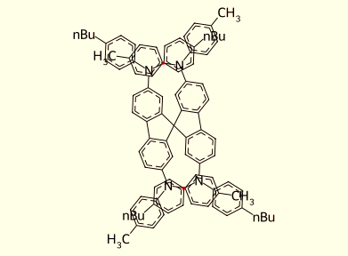 CCCCc1ccc(N(c2ccc(CCCC)cc2)c2ccc3c(c2)C2(c4cc(N(c5ccc(C)cc5)c5ccc(C)cc5)ccc4-3)c3cc(N(c4ccc(C)cc4)c4ccc(C)cc4)ccc3-c3ccc(N(c4ccc(CCCC)cc4)c4ccc(CCCC)cc4)cc32)cc1